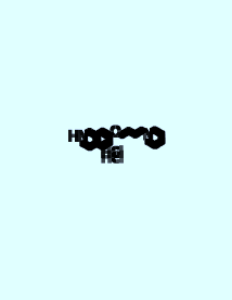 Cl.Cl.c1cc2c(cc1OCCCCN1CCCCC1)CNCC2